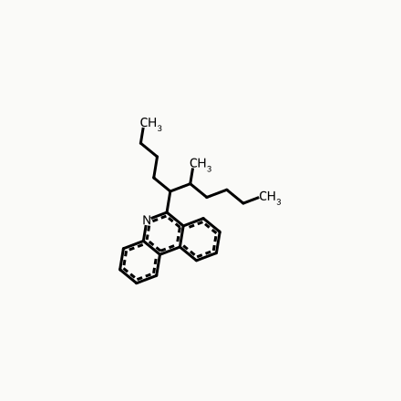 CCCCC(C)C(CCCC)c1nc2ccccc2c2ccccc12